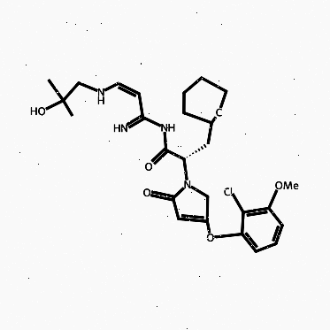 COc1cccc(OC2=CC(=O)N([C@@H](CC3CCCCC3)C(=O)NC(=N)/C=C\NCC(C)(C)O)C2)c1Cl